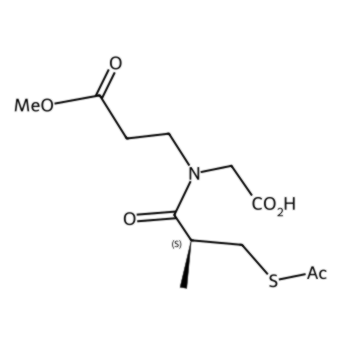 COC(=O)CCN(CC(=O)O)C(=O)[C@H](C)CSC(C)=O